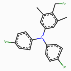 Cc1cc(N(c2ccc(Br)cc2)c2ccc(Br)cc2)cc(C)c1CBr